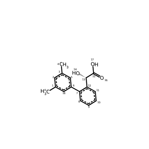 Cc1cc(C)cc(-c2ccccc2[C@H](O)C(=O)O)c1